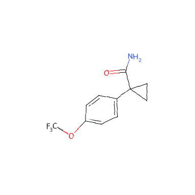 NC(=O)C1(c2ccc(OC(F)(F)F)cc2)CC1